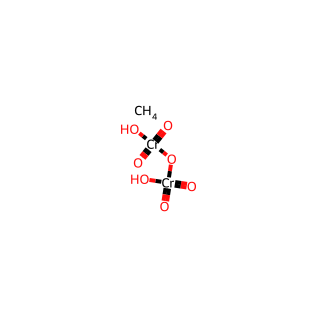 C.[O]=[Cr](=[O])([OH])[O][Cr](=[O])(=[O])[OH]